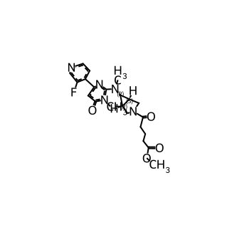 COC(=O)CCCC(=O)N1C[C@@H]2[C@H](C1)[C@@H]2N(C)c1nc(-c2ccncc2F)cc(=O)n1C